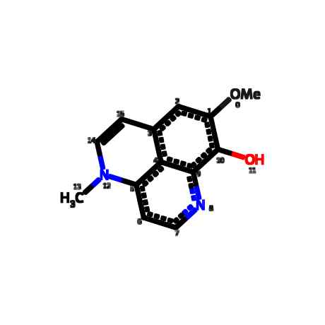 COc1cc2c3c(ccnc3c1O)N(C)C=C2